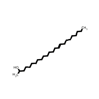 [CH2]C(O)CCCCCCCCCCCCC=CCCCCCCCC